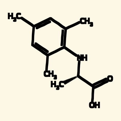 Cc1cc(C)c(N[C@@H](C)C(=O)O)c(C)c1